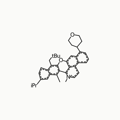 Cc1c2c(c(CC(C)(C)C)c3ccc(C(C)C)cc13)Oc1cc3c(C4CCOCC4)cccc3c3cc[n+](C)c-2c13